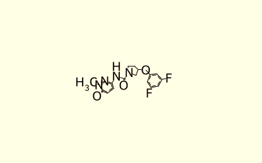 Cn1nc(NC(=O)N2CCC(Oc3cc(F)cc(F)c3)C2)ccc1=O